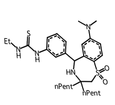 CCCCCC1(CCCCC)CS(=O)(=O)c2ccc(N(C)C)cc2C(c2cccc(NC(=S)NCC)c2)N1